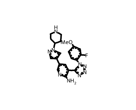 COc1ccc(-n2nnnc2-c2cc(-c3cnn(C4CCNCC4)c3)cnc2N)c(F)c1